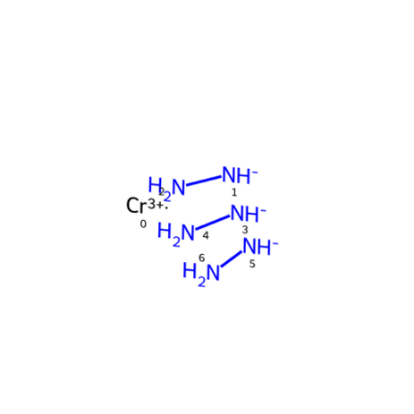 [Cr+3].[NH-]N.[NH-]N.[NH-]N